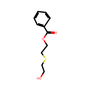 O=C(OCCSCCO)c1ccccc1